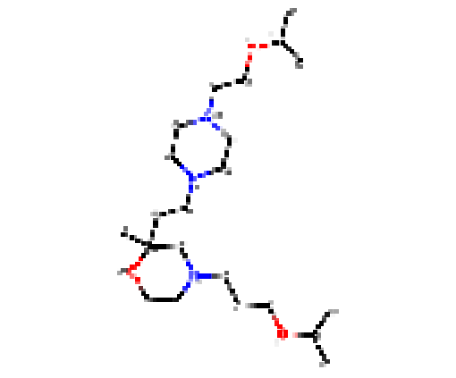 CC(C)OCCCN1CCOC(C)(CCN2CCN(CCOC(C)C)CC2)C1